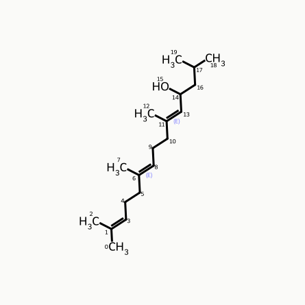 CC(C)=CCC/C(C)=C/CC/C(C)=C/C(O)CC(C)C